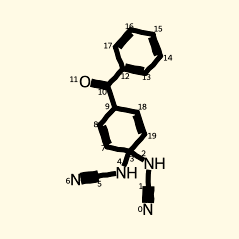 N#CNC1(NC#N)C=CC(C(=O)c2ccccc2)C=C1